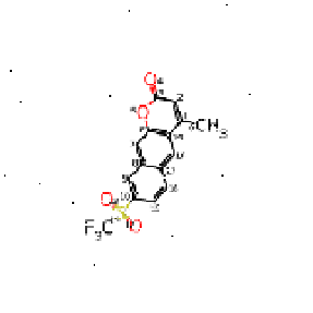 Cc1cc(=O)oc2cc3cc(S(=O)(=O)C(F)(F)F)ccc3cc12